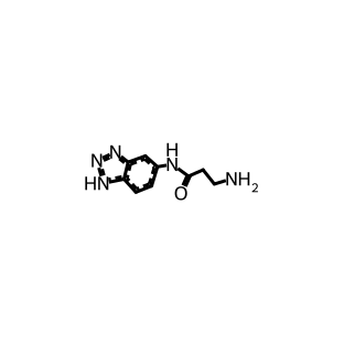 NCCC(=O)Nc1ccc2[nH]nnc2c1